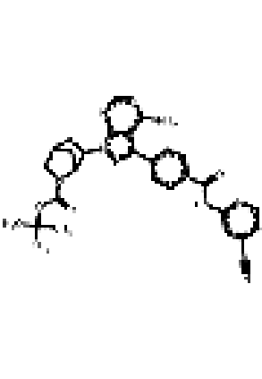 CC(C)(C)OC(=O)N1CC2CC1C(n1nc(-c3ccc(C(=O)Nc4cc(C#N)ccn4)cc3)c3c(N)ncnc31)C2